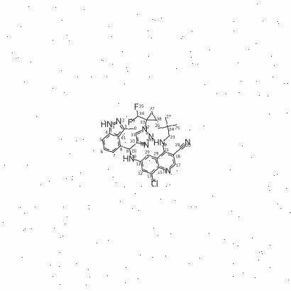 Cc1n[nH]c2cccc([C@H](Nc3cc(Cl)c4ncc(C#N)c(NCC(C)(C)C)c4c3)c3cn(C4(C(F)F)CC4)nn3)c12